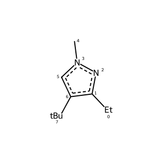 CCc1nn(C)cc1C(C)(C)C